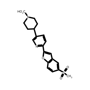 CS(=O)(=O)c1ccc2oc(-c3ccc(C4CCN(C(=O)O)CC4)cn3)cc2c1